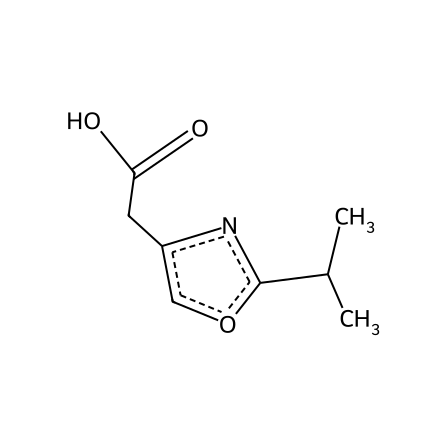 CC(C)c1nc(CC(=O)O)co1